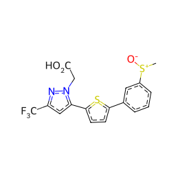 C[S+]([O-])c1cccc(-c2ccc(-c3cc(C(F)(F)F)nn3CC(=O)O)s2)c1